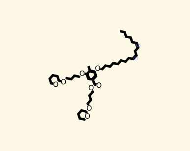 CCCCC/C=C\C/C=C\CCCCCCCCOc1cc(C(=O)OCCCCOC2CCCCO2)cc(OCCCCOC2CCCCO2)c1C